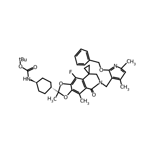 Cc1cc(C)c(CN2CC3(CC3)c3c(F)c4c(c(C)c3C2=O)OC(C)([C@H]2CC[C@H](NC(=O)OC(C)(C)C)CC2)O4)c(OCc2ccccc2)n1